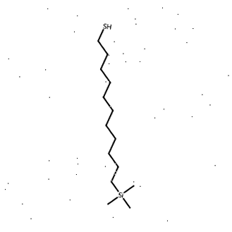 C[Si](C)(C)CCCCCCCCCCCS